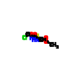 CCCCOC(=O)c1ccc(NC(=S)NC(=O)COc2cccc(Cl)c2)cc1